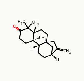 C=C1C[C@]23CC[C@H]4C(C)(C)C(=O)CC[C@]4(C)[C@H]2CC[C@@H]1C3